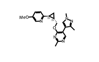 COc1ccc([C@H]2C[C@@H]2COc2nc(C)ncc2-c2cn(C)nc2C)nc1